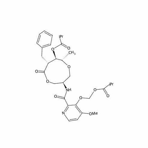 COc1ccnc(C(=O)N[C@H]2COC(=O)[C@H](Cc3ccccc3)[C@@H](OC(=O)C(C)C)[C@H](C)OC2)c1OCOC(=O)C(C)C